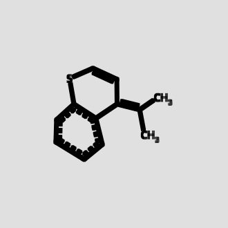 CC(C)=C1C=CSc2ccccc21